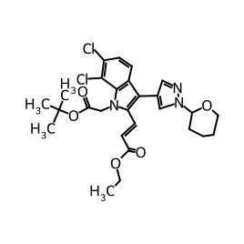 CCOC(=O)C=Cc1c(-c2cnn(C3CCCCO3)c2)c2ccc(Cl)c(Cl)c2n1CC(=O)OC(C)(C)C